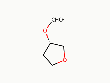 O=[C]O[C@H]1CCOC1